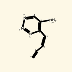 C=C/C=C\c1nnncc1N